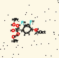 CCCCCCCCOc1cc[c]([Ti](=[O])([O]OC(C)C)[O]OC(C)C)c(F)c1F